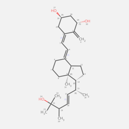 C=C1/C(=C\C=C2/CCC[C@@]3(C)C2CC[C@@H]3[C@H](C)/C=C/C(C)C(C)(C)O)C[C@@H](O)C[C@@H]1O